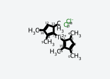 CC1=CC(C)[C]([Ti+2][C]2=C(C)C(C)=CC2C)=C1C.[Cl-].[Cl-]